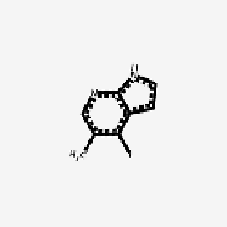 Cc1cnc2[nH]ccc2c1I